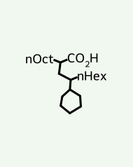 CCCCCCCCC(CC(CCCCCC)C1CCCCC1)C(=O)O